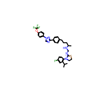 CC(CCCc1ccc(-c2ncn(-c3ccc(OC(F)(F)F)cc3)n2)cc1)NC/N=C1\SCCN1c1ccc(F)cc1C(C)C